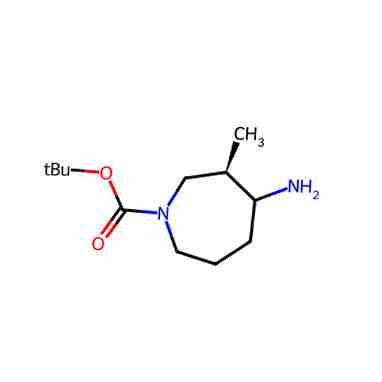 C[C@@H]1CN(C(=O)OC(C)(C)C)CCCC1N